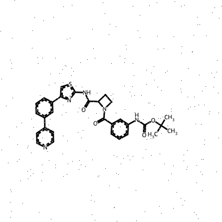 CC(C)(C)OC(=O)Nc1cccc(C(=O)N2CCC2C(=O)Nc2nc(-c3cccc(-c4ccncc4)c3)cs2)c1